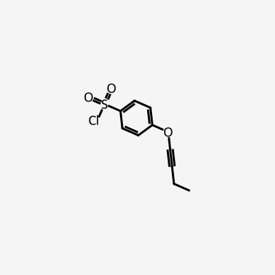 CCC#COc1ccc(S(=O)(=O)Cl)cc1